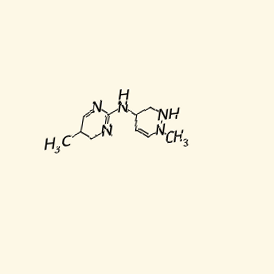 CC1C=NC(NC2C=CN(C)NC2)=NC1